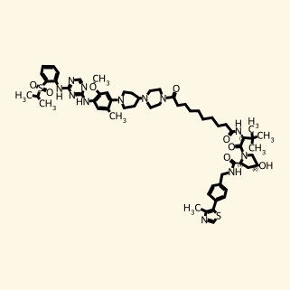 COc1cc(N2CCC(N3CCN(C(=O)CCCCCCCCC(=O)N[C@H](C(=O)N4C[C@H](O)C[C@H]4C(=O)NCc4ccc(-c5scnc5C)cc4)C(C)(C)C)CC3)CC2)c(C)cc1Nc1ncnc(Nc2ccccc2S(=O)(=O)C(C)C)n1